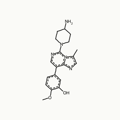 COc1ccc(-c2cnc(N3CCC(N)CC3)n3c(C)cnc23)cc1O